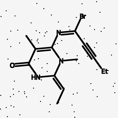 CC=C1NC(=O)C(C)=C(/N=C(/Br)C#CCC)N1C